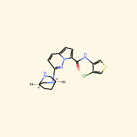 O=C(Nc1cscc1Cl)c1ccc2ccc(N3C[C@H]4CC[C@@H]3CN4)nn12